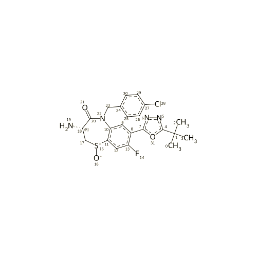 CC(C)(C)c1nnc(-c2cc3c(cc2F)[S+]([O-])C[C@H](N)C(=O)N3Cc2ccc(Cl)cc2)o1